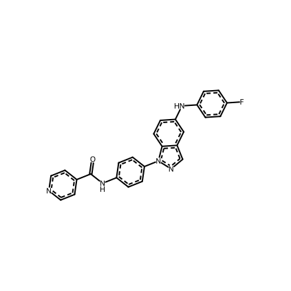 O=C(Nc1ccc(-n2ncc3cc(Nc4ccc(F)cc4)ccc32)cc1)c1ccncc1